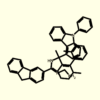 Cc1ccccc1C1=C(C(C)(N/C(=N\CN)c2ccc3c(c2)-c2ccccc2C3)c2cccc3c2c2ccccc2n3-c2ccccc2)CCCC1C